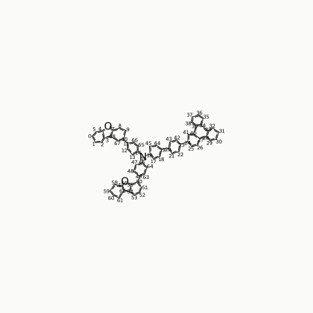 c1ccc2c(c1)oc1ccc(-c3ccc(N(c4ccc(-c5ccc(-c6ccc7c8ccccc8c8ccccc8c7c6)cc5)cc4)c4ccc(-c5cccc6c5oc5ccccc56)cc4)cc3)cc12